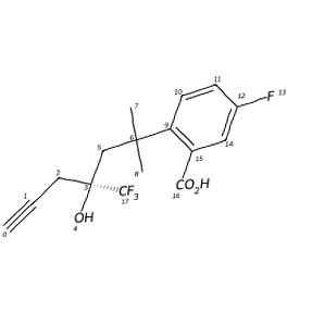 C#CC[C@](O)(CC(C)(C)c1ccc(F)cc1C(=O)O)C(F)(F)F